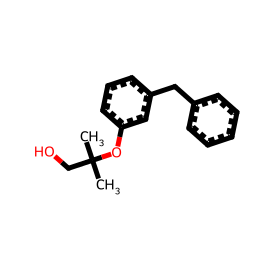 CC(C)(CO)Oc1cccc(Cc2ccccc2)c1